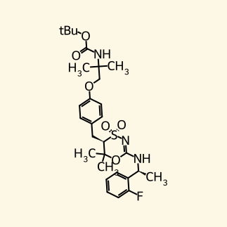 C[C@H](NC1=NS(=O)(=O)[C@H](Cc2ccc(OCC(C)(C)NC(=O)OC(C)(C)C)cc2)C(C)(C)O1)c1ccccc1F